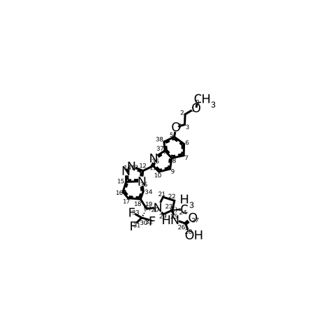 COCCOc1ccc2ccc(-c3nnc4ccc([C@H](N5CC[C@](C)(NC(=O)O)C5)C(F)(F)F)cn34)nc2c1